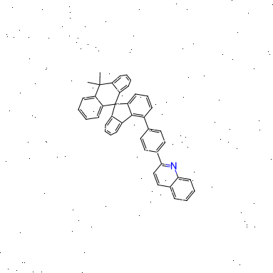 CC1(C)c2ccccc2C2(c3ccccc3-c3c(-c4ccc(-c5ccc6ccccc6n5)cc4)cccc32)c2ccccc21